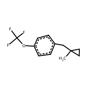 CC1(Cc2ccc(OC(F)(F)F)cc2)CC1